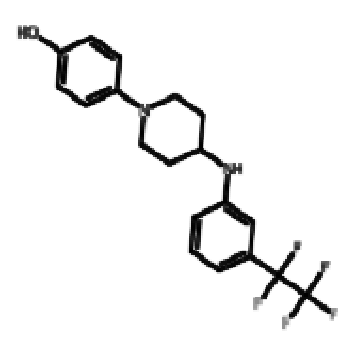 Oc1ccc(N2CCC(Nc3cccc(C(F)(F)C(F)(F)F)c3)CC2)cc1